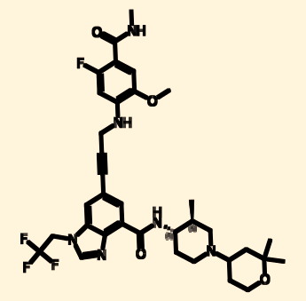 CNC(=O)c1cc(OC)c(NCC#Cc2cc(C(=O)N[C@H]3CCN(C4CCOC(C)(C)C4)C[C@@H]3C)c3ncn(CC(F)(F)F)c3c2)cc1F